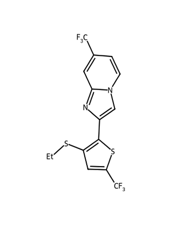 CCSc1cc(C(F)(F)F)sc1-c1cn2ccc(C(F)(F)F)cc2n1